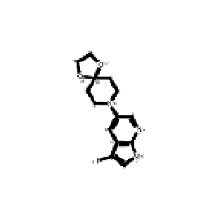 Ic1c[nH]c2ncc(N3CCC4(CC3)OCCO4)cc12